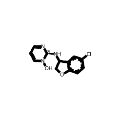 ON1C=CC=N[C@H]1NC1COc2ccc(Cl)cc21